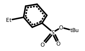 CCc1cccc(S(=O)(=O)OC(C)(C)C)c1